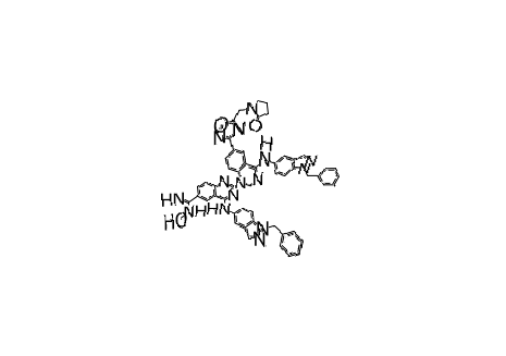 N=C(NO)c1ccc2ncnc(Nc3ccc4c(cnn4Cc4ccccc4)c3)c2c1.O=C1CCCN1Cc1nc(-c2ccc3ncnc(Nc4ccc5c(cnn5Cc5ccccc5)c4)c3c2)no1